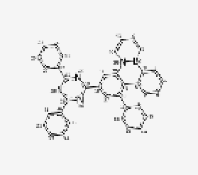 C1=CB2c3ccccc3-c3c(-c4ccccc4)cc(-c4nc(-c5ccccc5)nc(-c5ccccc5)n4)cc3N2C=C1